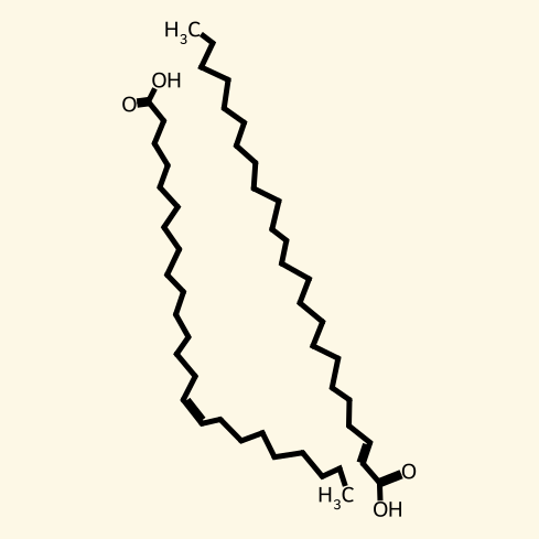 CCCCCCCC/C=C\CCCCCCCCCCCCCC(=O)O.CCCCCCCCCCCCCCCCCCCCCC=CC(=O)O